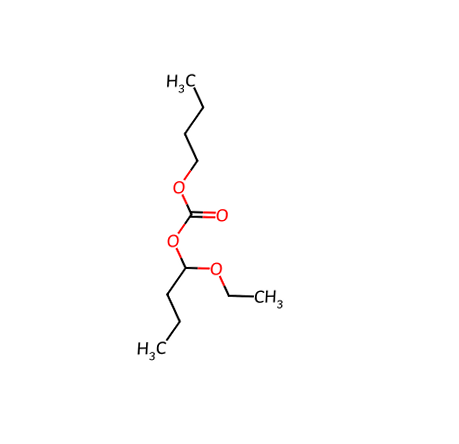 CCCCOC(=O)OC(CCC)OCC